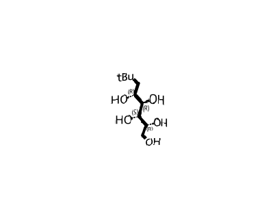 CC(C)(C)C[C@@H](O)[C@@H](O)[C@@H](O)[C@H](O)CO